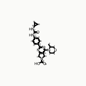 CC1COCCN1c1nc(-c2ccc(NC(=O)NC3CC3)cc2)nc2c1CN(C(=O)O)C2